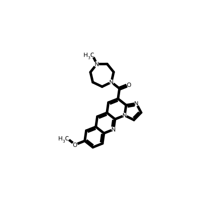 COc1ccc2nc3c(cc(C(=O)N4CCCN(C)CC4)c4nccn43)cc2c1